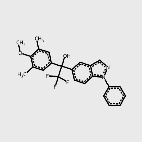 COc1c(C)cc(C(O)(c2ccc3c(cnn3-c3ccccc3)c2)C(F)(F)F)cc1C